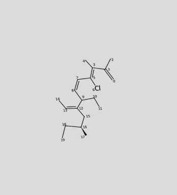 C=C(C)/C(C)=C(Cl)/C=C\C(CC)/C(=C\C)C[C@@H](C)CC